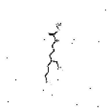 CC(C)(C)OC(=O)NCCCN(CCCN)CC(F)(F)F